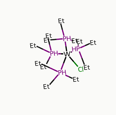 CC[PH](CC)(CC)[W]([Cl])([PH](CC)(CC)CC)([PH](CC)(CC)CC)[PH](CC)(CC)CC